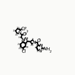 Nc1nccc(C(=O)N2CC(c3nn(CC(=O)N4CCC[C@H]4C(F)(F)F)c4ccc(Cl)cc34)C2)n1